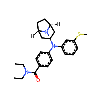 CCN(CC)C(=O)c1ccc(N(c2cccc(SC)c2)[C@H]2C[C@H]3CC[C@@H](C2)N3C)cc1